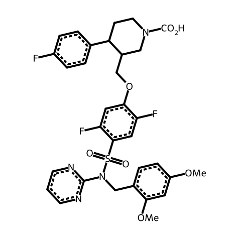 COc1ccc(CN(c2ncccn2)S(=O)(=O)c2cc(F)c(OCC3CN(C(=O)O)CCC3c3ccc(F)cc3)cc2F)c(OC)c1